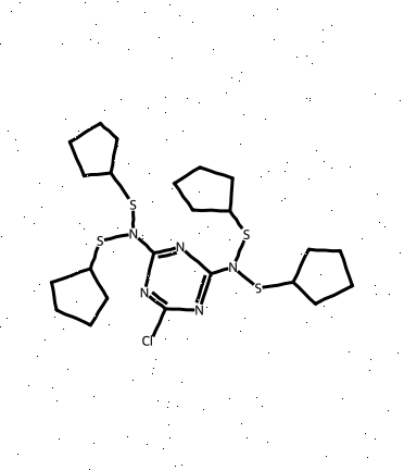 Clc1nc(N(SC2CCCC2)SC2CCCC2)nc(N(SC2CCCC2)SC2CCCC2)n1